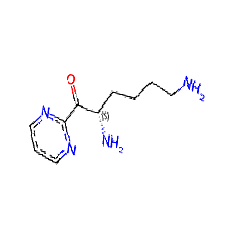 NCCCC[C@H](N)C(=O)c1ncccn1